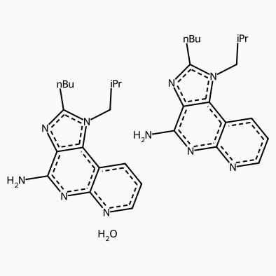 CCCCc1nc2c(N)nc3ncccc3c2n1CC(C)C.CCCCc1nc2c(N)nc3ncccc3c2n1CC(C)C.O